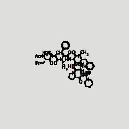 CC(=O)N(C)[C@@H](CC(C)C)C(=O)N(C)[C@@H](C)C(=O)N(C)[C@@H](Cc1ccccc1)C(=O)N[C@H](C(=O)N(C)[C@@H](Cc1ccccc1)C(=O)N[C@@H](CC(C)C)C(=O)N1CCC[C@H]1C(=O)NC(=O)N1CCCCC1)[C@@H](C)O